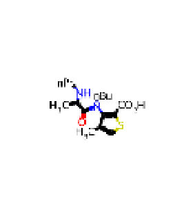 CCCCN(C(=O)C(C)NCCC)c1c(C)csc1C(=O)O